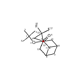 CC(C)(C)OC(=O)N1C2CC1CC1(C2)CC1(F)F